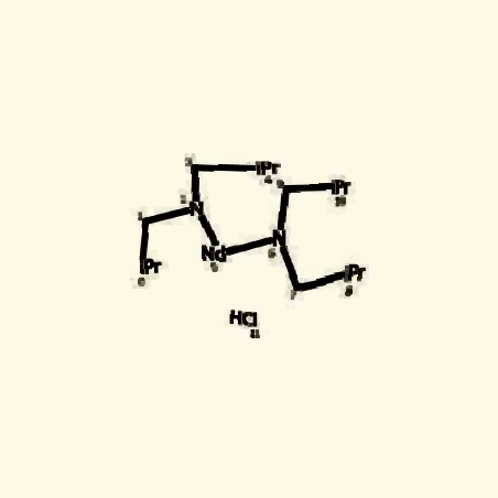 CC(C)C[N](CC(C)C)[Nd][N](CC(C)C)CC(C)C.Cl